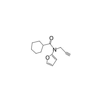 C#CCN(C(=O)C1CCCCC1)c1ccco1